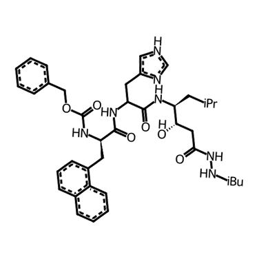 CCC(C)NNC(=O)C[C@H](O)[C@H](CC(C)C)NC(=O)C(Cc1c[nH]cn1)NC(=O)[C@@H](Cc1cccc2ccccc12)NC(=O)OCc1ccccc1